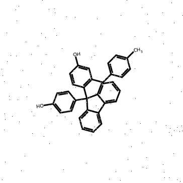 Cc1ccc(Cc2cc(O)ccc2C2(c3ccc(O)cc3)c3ccccc3-c3ccccc32)cc1